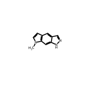 Cn1ccc2cc3cn[nH]c3cc21